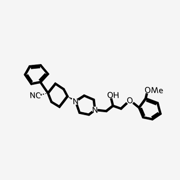 COc1ccccc1OCC(O)CN1CCN([C@H]2CC[C@](C#N)(c3ccccc3)CC2)CC1